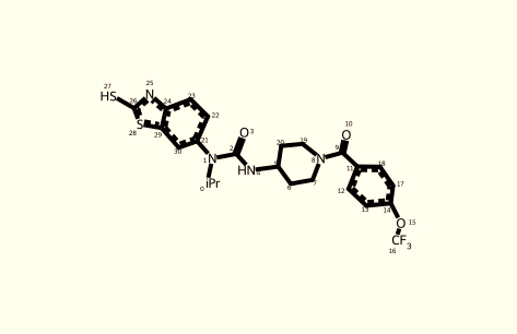 CC(C)N(C(=O)NC1CCN(C(=O)c2ccc(OC(F)(F)F)cc2)CC1)c1ccc2nc(S)sc2c1